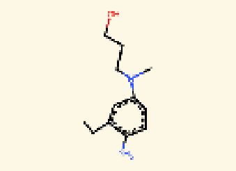 CCc1cc(N(C)CCCO)ccc1N